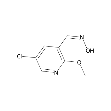 COc1ncc(Cl)cc1/C=N\O